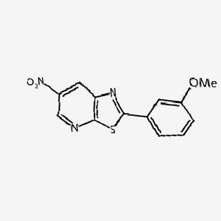 COc1cccc(-c2nc3cc([N+](=O)[O-])cnc3s2)c1